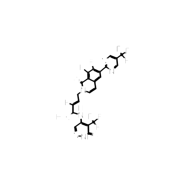 CC(Nc1cn[nH]c(=O)c1C(F)(F)F)/C(F)=C/Cn1ccc2cc(-c3ncc(C(F)(F)F)cn3)c(F)c(F)c2c1=O